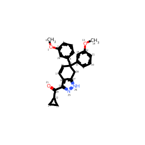 COc1cccc(C2(c3cccc(OC)c3)C=Cc3c(C(=O)C4CC4)n[nH]c3C2)c1